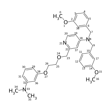 COc1cccc(CN(Cc2cccc(OC)c2)c2ccnc(COCCOc3cccc(N(C)C)c3)c2)c1